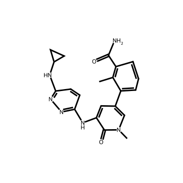 Cc1c(C(N)=O)cccc1-c1cc(Nc2ccc(NC3CC3)nn2)c(=O)n(C)c1